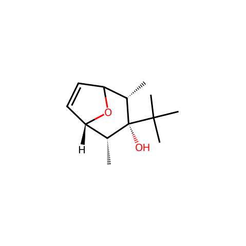 C[C@@H]1[C@@H]2C=CC(O2)[C@H](C)[C@@]1(O)C(C)(C)C